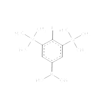 C[Si](C)(C)c1cc(B(O)O)cc([Si](C)(C)C)c1F